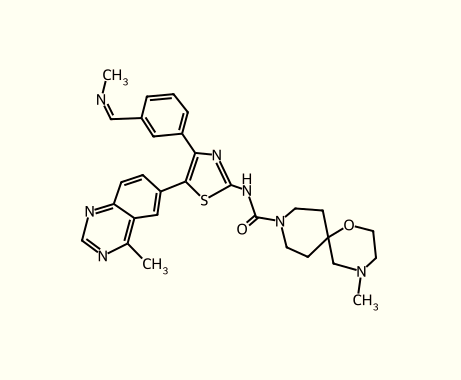 C/N=C\c1cccc(-c2nc(NC(=O)N3CCC4(CC3)CN(C)CCO4)sc2-c2ccc3ncnc(C)c3c2)c1